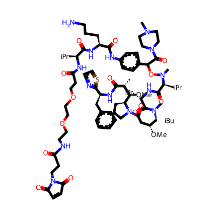 CC[C@H](C)[C@@H]([C@@H](CC(=O)N1CCC[C@H]1[C@H](OC)[C@@H](C)C(=O)N[C@@H](Cc1ccccc1)c1nccs1)OC)N(C)C(=O)[C@@H](NC(=O)[C@H](C(C)C)N(C)OC(C(=O)N1CCN(C)CC1)c1ccc(NC(=O)[C@H](CCCN)NC(=O)[C@@H](NC(=O)CCOCCOCCNC(=O)CCN2C(=O)C=CC2=O)C(C)C)cc1)C(C)C